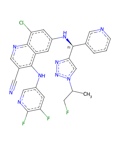 CC(CF)n1cc([C@@H](Nc2cc(Cl)c3ncc(C#N)c(Nc4cnc(F)c(F)c4)c3c2)c2cccnc2)nn1